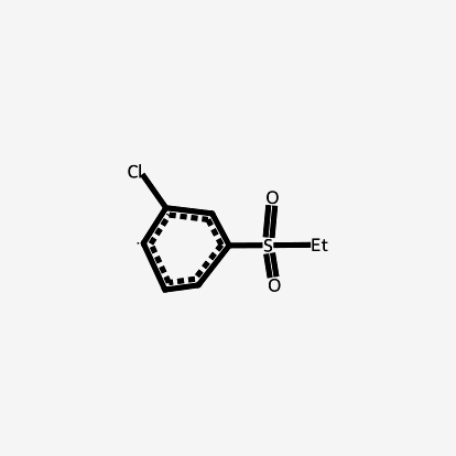 CCS(=O)(=O)c1cc[c]c(Cl)c1